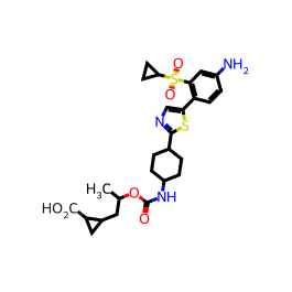 CC(CC1CC1C(=O)O)OC(=O)NC1CCC(c2ncc(-c3ccc(N)cc3S(=O)(=O)C3CC3)s2)CC1